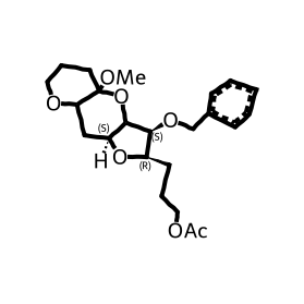 COC12CCCOC1C[C@@H]1O[C@H](CCCOC(C)=O)[C@H](OCc3ccccc3)C1O2